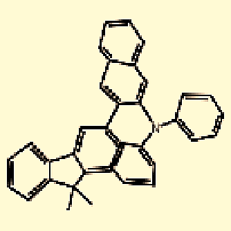 CC1(C)c2ccccc2-c2cc(-c3cc4ccccc4cc3N(c3ccccc3)c3ccccc3)ccc21